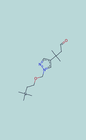 CC(C)(CC=O)c1cnn(COCC[Si](C)(C)C)c1